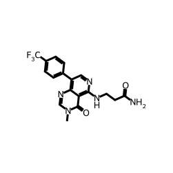 Cn1cnc2c(-c3ccc(C(F)(F)F)cc3)cnc(NCCC(N)=O)c2c1=O